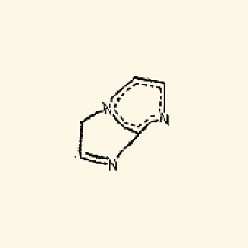 [C]1=Nc2nccn2C1